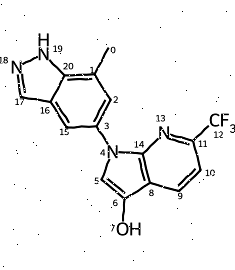 Cc1cc(-n2cc(O)c3ccc(C(F)(F)F)nc32)cc2cn[nH]c12